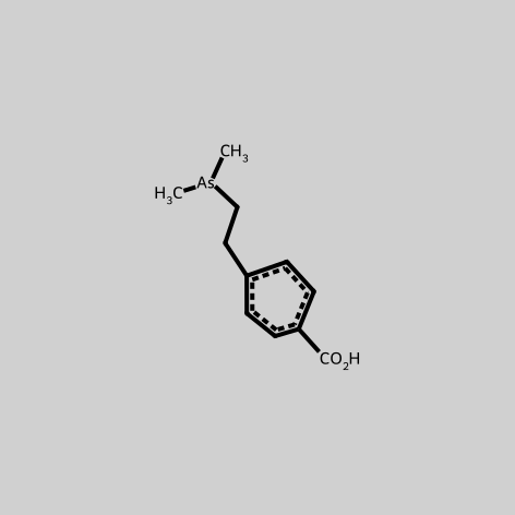 C[As](C)CCc1ccc(C(=O)O)cc1